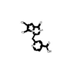 O=C(O)c1ccnc(Cc2c[nH]c(=O)c3cc(Cl)c(Cl)n23)c1